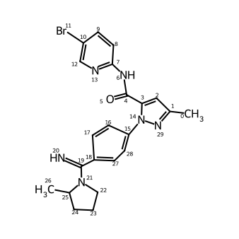 Cc1cc(C(=O)Nc2ccc(Br)cn2)n(-c2ccc(C(=N)N3CCCC3C)cc2)n1